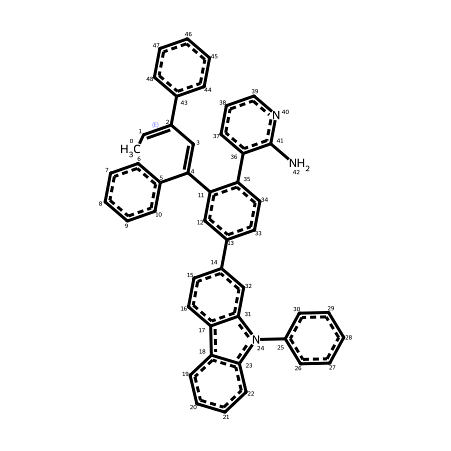 C/C=C(\C=C(c1ccccc1)c1cc(-c2ccc3c4ccccc4n(-c4ccccc4)c3c2)ccc1-c1cccnc1N)c1ccccc1